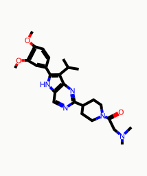 COc1ccc(-c2[nH]c3cnc(C4CCN(C(=O)CN(C)C)CC4)nc3c2C(C)C)cc1OC